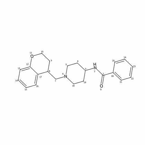 O=C(NC1CCN(CC2CCOc3ccccc32)CC1)c1ccccc1